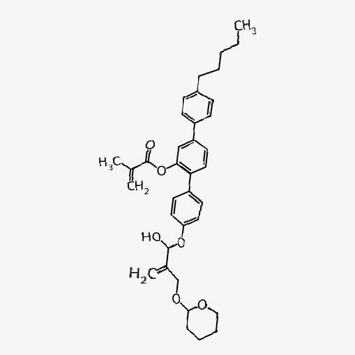 C=C(C)C(=O)Oc1cc(-c2ccc(CCCCC)cc2)ccc1-c1ccc(OC(O)C(=C)COC2CCCCO2)cc1